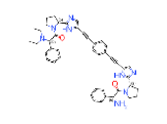 CCN(CC)[C@@H](C(=O)N1CCC[C@H]1c1ncc(C#Cc2ccc(C#Cc3cnc([C@@H]4CCCN4C(=O)[C@H](N)c4ccccc4)[nH]3)cc2)[nH]1)c1ccccc1